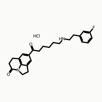 Cl.O=C(CCCCCNCCc1cccc(F)c1)c1cc2c3c(c1)CCN3C(=O)CC2